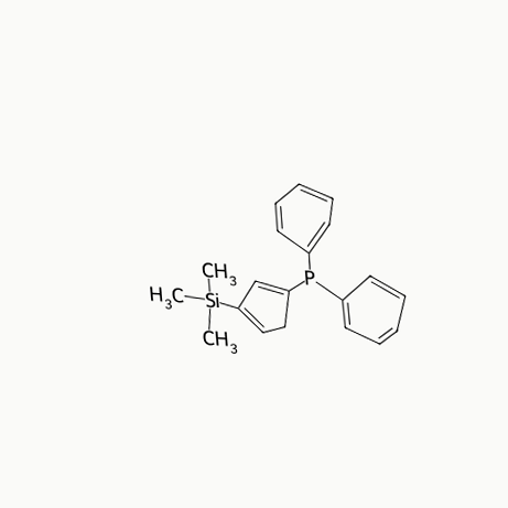 C[Si](C)(C)C1=CCC(P(c2ccccc2)c2ccccc2)=C1